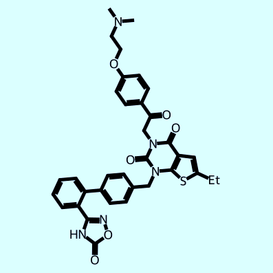 CCc1cc2c(=O)n(CC(=O)c3ccc(OCCN(C)C)cc3)c(=O)n(Cc3ccc(-c4ccccc4-c4noc(=O)[nH]4)cc3)c2s1